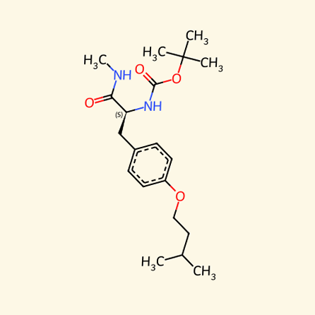 CNC(=O)[C@H](Cc1ccc(OCCC(C)C)cc1)NC(=O)OC(C)(C)C